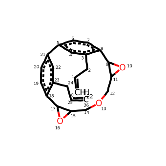 C=CCc1cc2ccc1C1OC1COCC1OC1c1ccc-2cc1CC=C